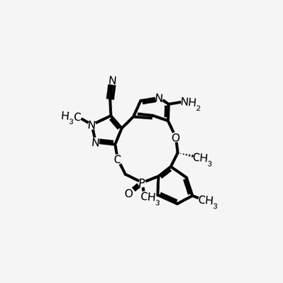 Cc1ccc2c(c1)[C@@H](C)Oc1cc(cnc1N)-c1c(nn(C)c1C#N)CCP2(C)=O